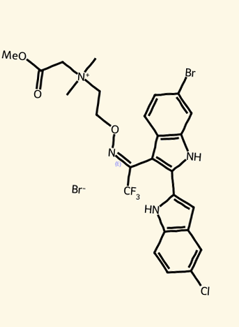 COC(=O)C[N+](C)(C)CCO/N=C(\c1c(-c2cc3cc(Cl)ccc3[nH]2)[nH]c2cc(Br)ccc12)C(F)(F)F.[Br-]